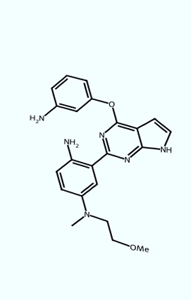 COCCN(C)c1ccc(N)c(-c2nc(Oc3cccc(N)c3)c3cc[nH]c3n2)c1